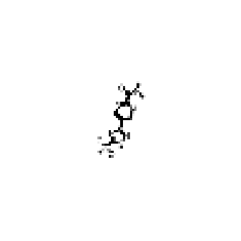 CN(C)C(=O)c1ncc(-c2nsc(S(C)(=O)=O)n2)cn1